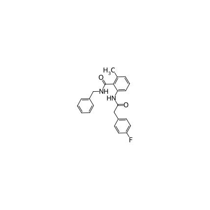 Cc1cccc(NC(=O)Cc2ccc(F)cc2)c1C(=O)NCc1ccccc1